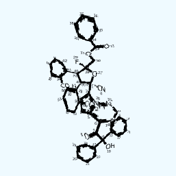 N#C[C@@]1(c2ccc3c(C(=O)C(O)(c4ccccc4)c4ccccc4)ncnn23)O[C@@](F)(COC(=O)c2ccccc2)[C@H](c2ccccc2C(=O)O)[C@@H]1C1=CC=CCC1C(=O)O